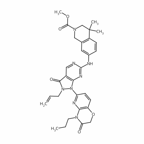 C=CCn1c(=O)c2cnc(Nc3ccc4c(c3)CN(C(=O)OC)CC4(C)C)nc2n1-c1ccc2c(n1)N(CCC)C(=O)CO2